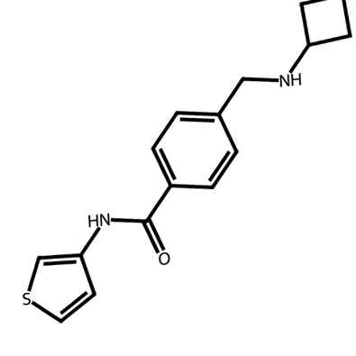 O=C(Nc1ccsc1)c1ccc(CNC2CCC2)cc1